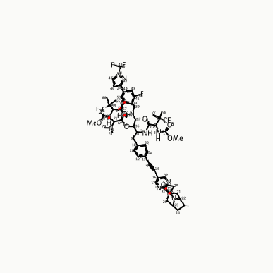 COC(=O)NC(C(=O)NC(Cc1ccc(C#Cc2cnc(N3CC4CCC(C3)N4C3COC3)nc2)cc1)C(CN(Cc1c(F)cc(-c2ccn(C(F)F)n2)cc1F)NC(=O)C(NC(=O)OC)C(C)(C)C(F)(F)F)OC(=O)C(C(C)C)N(C)C)C(C)(C)C(F)(F)F